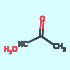 CC(=O)C#N.O